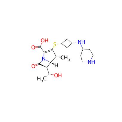 C[C@@H](O)[C@H]1C(=O)N2C(C(=O)O)=C(S[C@H]3C[C@@H](NC4CCNCC4)C3)[C@H](C)[C@H]12